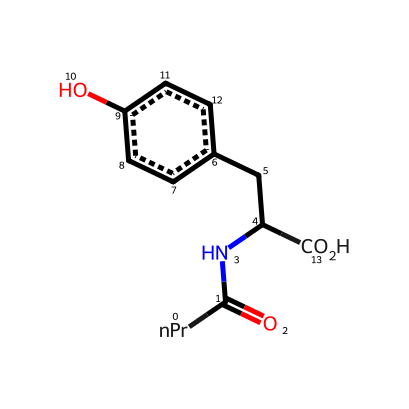 CCCC(=O)NC(Cc1ccc(O)cc1)C(=O)O